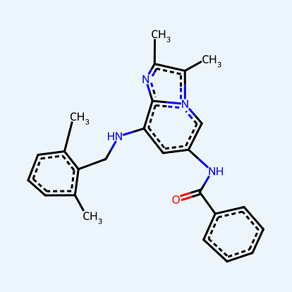 Cc1cccc(C)c1CNc1cc(NC(=O)c2ccccc2)cn2c(C)c(C)nc12